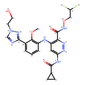 COc1c(Nc2cc(NC(=O)C3CC3)nnc2C(=O)NOCC(F)F)cccc1-c1ncn(CCO)n1